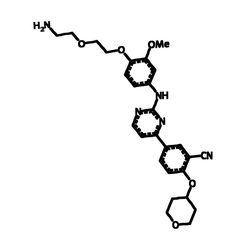 COc1cc(Nc2nccc(-c3ccc(OC4CCOCC4)c(C#N)c3)n2)ccc1OCCOCCN